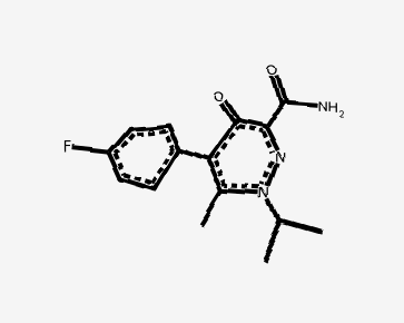 Cc1c(-c2ccc(F)cc2)c(=O)c(C(N)=O)nn1C(C)C